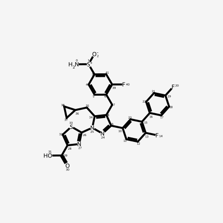 N[S+]([O-])c1ccc(Cc2c(-c3ccc(F)c(-c4ccc(F)cc4)c3)nn(-c3nc(C(=O)O)cs3)c2CC2CC2)c(F)c1